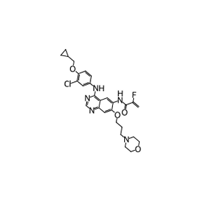 C=C(F)C(=O)Nc1cc2c(Nc3ccc(OCC4CC4)c(Cl)c3)ncnc2cc1OCCCN1CCOCC1